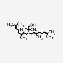 CC(C)=CCC/C(C)=C/CN(C/C=C(\C)CCC=C(C)C)C(C)(C)CO